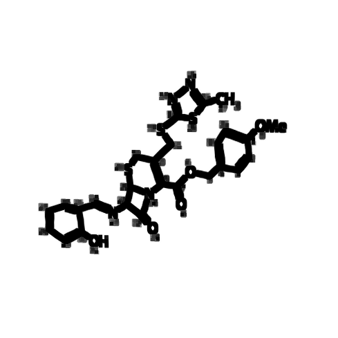 COc1ccc(COC(=O)C2=C(CSc3nnc(C)s3)CSC3C(N=Cc4ccccc4O)C(=O)N23)cc1